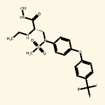 CCN[C@@H](CN(c1ccc(Oc2ccc(C(F)(F)F)cc2)cc1)S(C)(=O)=O)C(=O)NO